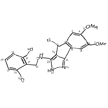 CCC1c2cc(OC)c(OC)cc2-c2n[nH]c(NCc3c(Cl)cccc3Cl)c21